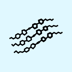 CCCCCc1ccc(-c2ccc(C#CC3=CCC(C4CCC(CCC)CC4)CC3)cc2)cc1.CCCCCc1ccc(-c2ccc(C#CC3=CCC(C4CCC(CCCC)CC4)CC3)cc2)cc1.CCCCCc1ccc(-c2ccc(C#CC3=CCC(C4CCC(CCCCC)CC4)CC3)cc2)cc1